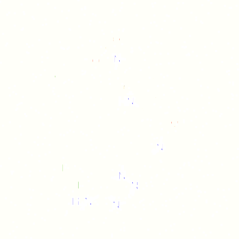 COc1ncc(-c2cc(C(F)(F)F)c3c(N)ncnn23)cc1C(=O)N[C@@H]1CN(S(=O)(=O)Cc2cccc(Cl)c2)C[C@@H]1F